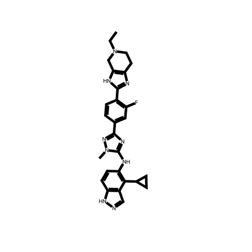 CCN1CCc2nc(-c3ccc(-c4nc(Nc5ccc6[nH]ncc6c5C5CC5)n(C)n4)cc3F)[nH]c2C1